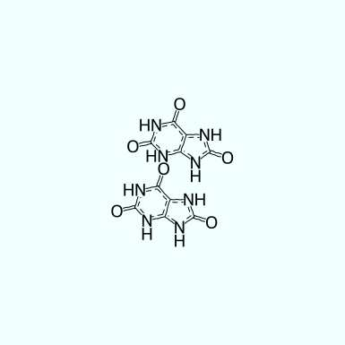 O=c1[nH]c(=O)c2[nH]c(=O)[nH]c2[nH]1.O=c1[nH]c(=O)c2[nH]c(=O)[nH]c2[nH]1